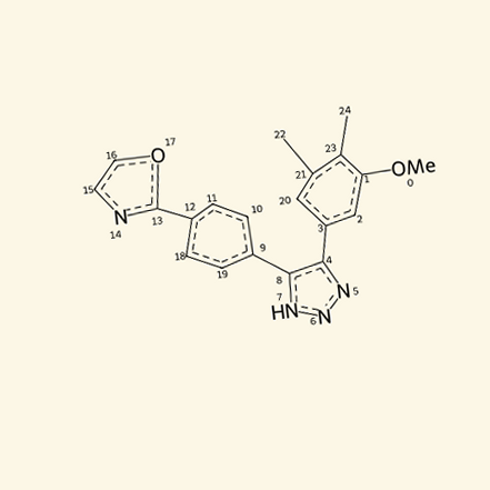 COc1cc(-c2nn[nH]c2-c2ccc(-c3ncco3)cc2)cc(C)c1C